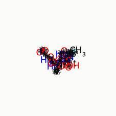 CC[C@@]1(O)C(=O)OCc2c1cc1n(c2=O)Cc2c-1nc1cc(F)c(C)c3c1c2[C@@H](NC(=O)C1CCC1OCNC(=O)CNC(=O)[C@H](Cc1ccccc1)NC(=O)COC(=O)CNC(=O)CCCCCN1C(=O)C=CC1=O)CC3